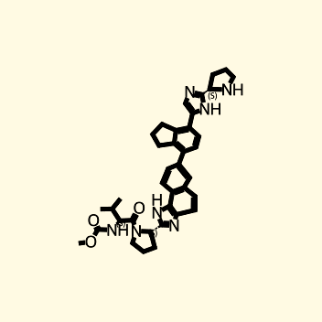 COC(=O)N[C@H](C(=O)N1CCC[C@H]1c1nc2ccc3cc(-c4ccc(-c5cnc([C@@H]6CCCN6)[nH]5)c5c4CCC5)ccc3c2[nH]1)C(C)C